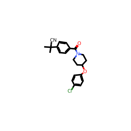 CC(C)(C#N)c1ccc(C(=O)N2CCC(Oc3ccc(Cl)cc3)CC2)cc1